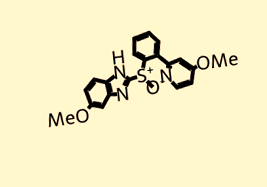 COc1ccnc(-c2ccccc2[S+]([O-])c2nc3cc(OC)ccc3[nH]2)c1